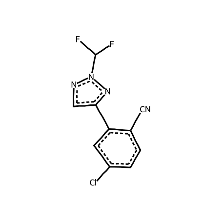 N#Cc1ccc(Cl)cc1-c1cnn(C(F)F)n1